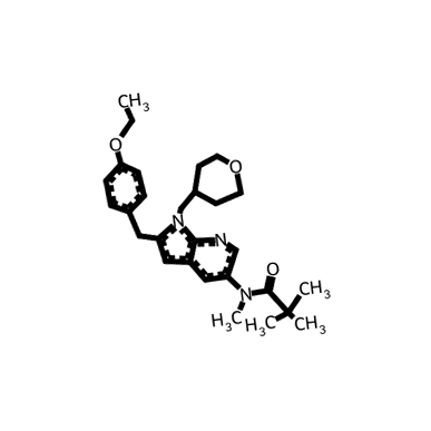 CCOc1ccc(Cc2cc3cc(N(C)C(=O)C(C)(C)C)cnc3n2CC2CCOCC2)cc1